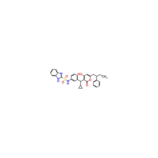 CCC(Cc1cc(O)c(C(c2cccc(NS(=O)(=O)c3nc4ccccc4[nH]3)c2)C2CC2)c(=O)o1)c1ccccc1